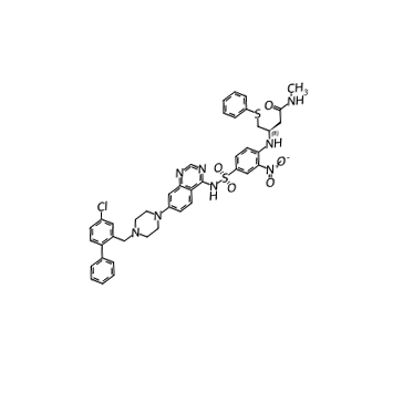 CNC(=O)C[C@H](CSc1ccccc1)Nc1ccc(S(=O)(=O)Nc2ncnc3cc(N4CCN(Cc5cc(Cl)ccc5-c5ccccc5)CC4)ccc23)cc1[N+](=O)[O-]